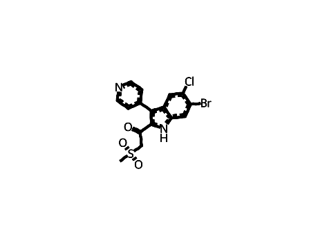 CS(=O)(=O)CC(=O)c1[nH]c2cc(Br)c(Cl)cc2c1-c1ccncc1